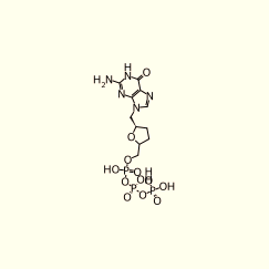 Nc1nc2c(ncn2C[C@H]2CCC(COP(=O)(O)OP(=O)(O)OP(=O)(O)O)O2)c(=O)[nH]1